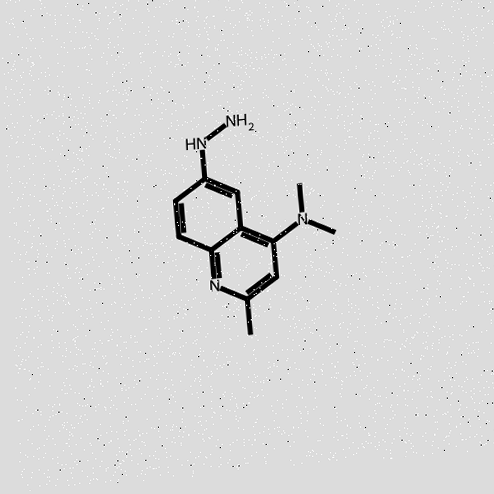 Cc1cc(N(C)C)c2cc(NN)ccc2n1